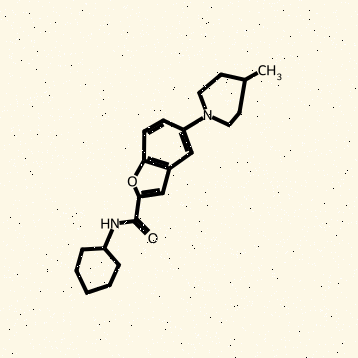 CC1CCN(c2ccc3oc(C(=O)NC4CCCCC4)cc3c2)CC1